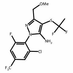 COCc1nn(-c2c(F)cc(C(F)(F)F)cc2Cl)c(N)c1SC(C)(F)F